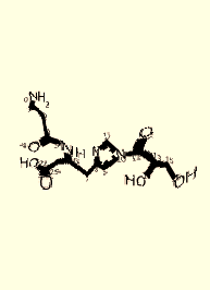 NCCC(=O)NC(Cc1cn(C(=O)C(O)CO)cn1)C(=O)O